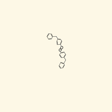 c1ccc(Cc2ccc(OOc3ccc(Cc4ccccc4)cc3)cc2)cc1